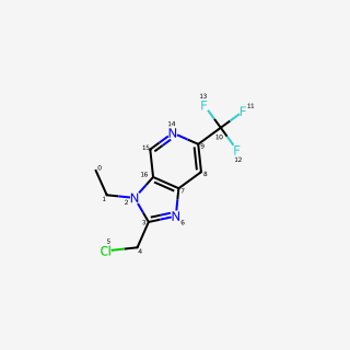 CCn1c(CCl)nc2cc(C(F)(F)F)ncc21